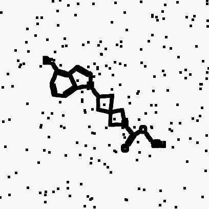 CC(C)(C)OC(=O)N1CC2(CC(n3ccc4c(Br)cccc43)C2)C1